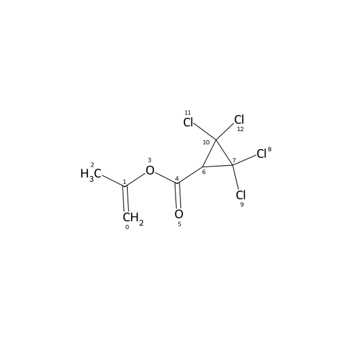 C=C(C)OC(=O)C1C(Cl)(Cl)C1(Cl)Cl